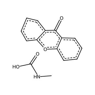 CNC(=O)O.O=c1c2ccccc2oc2ccccc12